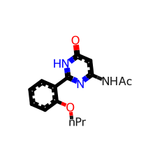 CCCOc1ccccc1-c1nc(NC(C)=O)cc(=O)[nH]1